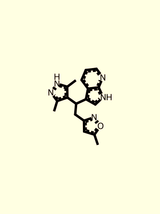 Cc1cc(CC(c2c(C)n[nH]c2C)c2c[nH]c3ncccc23)no1